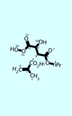 C=C(C)C(=O)O.CCCOC(=O)CC(O)C(=O)OO